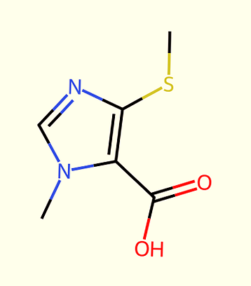 CSc1ncn(C)c1C(=O)O